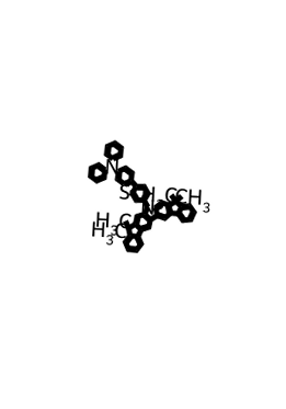 CC1(C)c2ccccc2-c2cc3c4cc5c(cc4n(-c4ccc6c(c4)sc4cc(N(c7ccccc7)c7ccccc7)ccc46)c3cc21)C(C)(C)c1ccccc1-5